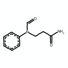 NC(=O)CCN(C=O)c1ccccc1